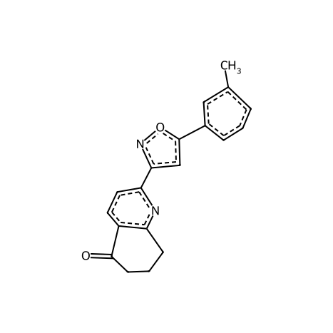 Cc1cccc(-c2cc(-c3ccc4c(n3)CCCC4=O)no2)c1